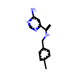 C=C(NCc1ccc(C)cc1)c1cc(N)ncn1